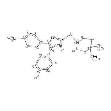 Cc1ccc(-c2nc(CN3CCC(C)(C)CC3)nn2-c2ccc(F)cc2)cc1